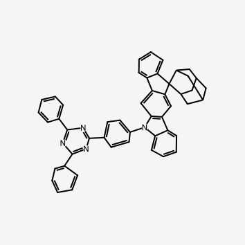 c1ccc(-c2nc(-c3ccccc3)nc(-c3ccc(-n4c5ccccc5c5cc6c(cc54)-c4ccccc4C64C5CC6CC(C5)CC4C6)cc3)n2)cc1